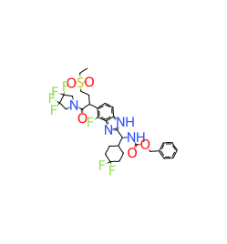 CCS(=O)(=O)CCC(C(=O)N1CC(F)(F)C(F)(F)C1)c1ccc2[nH]c([C@@H](NC(=O)OCc3ccccc3)C3CCC(F)(F)CC3)nc2c1F